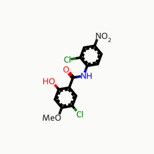 COc1cc(O)c(C(=O)Nc2ccc([N+](=O)[O-])cc2Cl)cc1Cl